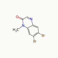 Cn1c(=O)cnc2cc(Br)c(Br)cc21